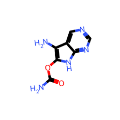 NC(=O)Oc1[nH]c2ncncc2c1N